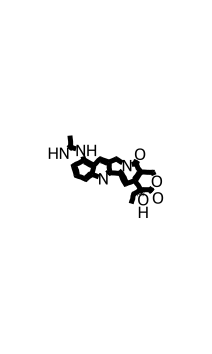 CC[C@@]1(O)C(=O)OCc2c1cc1n(c2=O)Cc2cc3c(NC(C)=N)cccc3nc2-1